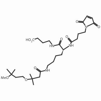 COC(C)(C)CCOC(C)(C)CC(=O)NCCCC[C@H](NC(=O)CCCN1C(=O)C=CC1=O)C(=O)NCCCC(=O)O